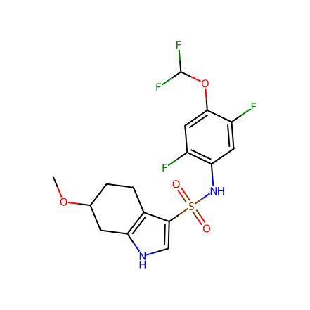 COC1CCc2c(S(=O)(=O)Nc3cc(F)c(OC(F)F)cc3F)c[nH]c2C1